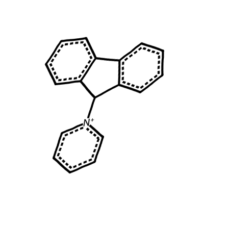 c1cc[n+](C2c3ccccc3-c3ccccc32)cc1